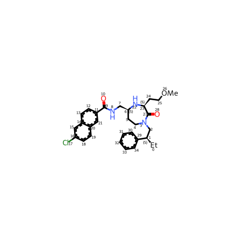 CC[C@H](CN1CC[C@@H](CNC(=O)c2ccc3cc(Cl)ccc3c2)N[C@@H](CCOC)C1=O)c1ccccc1